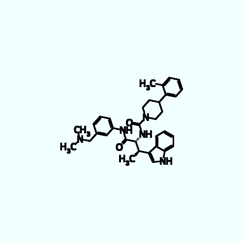 Cc1ccccc1C1CCN(C(=O)N[C@@H](C(=O)Nc2cccc(CN(C)C)c2)[C@H](C)c2c[nH]c3ccccc23)CC1